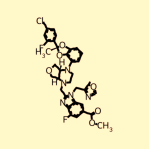 COC(=O)c1cc(F)c2nc(CN3CCN(c4cccc5c4O[C@](C)(c4ccc(Cl)cc4F)O5)[C@H]4COC[C@H]43)n(Cc3cocn3)c2c1